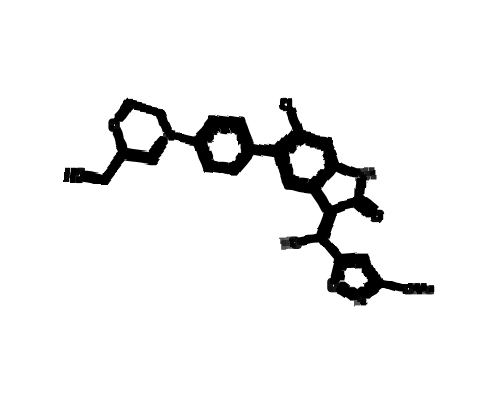 COc1cc(C(O)=C2C(=O)Nc3cc(Cl)c(-c4ccc(N5CCOC(CO)C5)cc4)cc32)on1